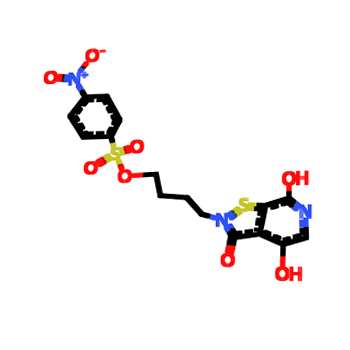 O=c1c2c(O)cnc(O)c2sn1CCCCOS(=O)(=O)c1ccc([N+](=O)[O-])cc1